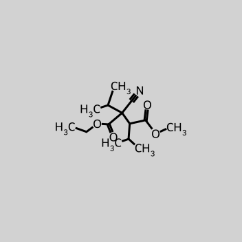 CCOC(=O)C(C#N)(C(C)C)C(C(=O)OC)C(C)C